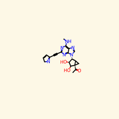 CNc1nc(C#CC2=NCC=C2)nc2c1ncn2[C@@H]1C2C[C@]2(C(C)=O)C(O)[C@H]1O